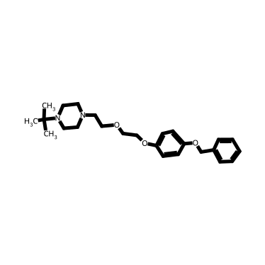 CC(C)(C)N1CCN(CCOCCOc2ccc(OCc3ccccc3)cc2)CC1